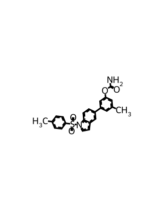 Cc1ccc(S(=O)(=O)n2ccc3cc(-c4cc(C)cc(OC(N)=O)c4)ccc32)cc1